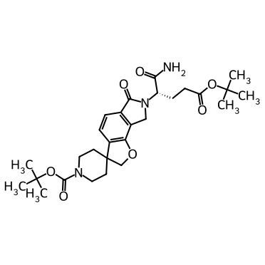 CC(C)(C)OC(=O)CC[C@@H](C(N)=O)N1Cc2c(ccc3c2OCC32CCN(C(=O)OC(C)(C)C)CC2)C1=O